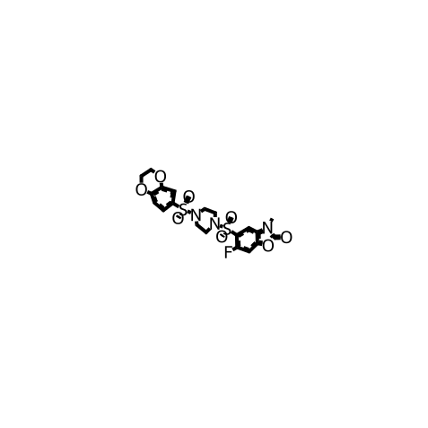 Cn1c(=O)oc2cc(F)c(S(=O)(=O)N3CCN(S(=O)(=O)c4ccc5c(c4)OCCO5)CC3)cc21